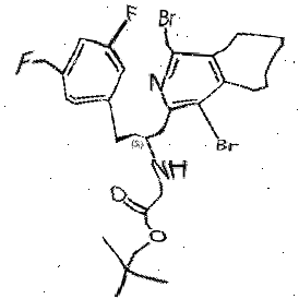 CC(C)(C)OC(=O)N[C@@H](Cc1cc(F)cc(F)c1)c1nc(Br)c2c(c1Br)CCC2